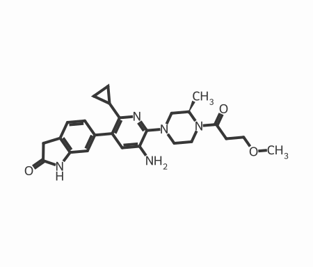 COCCC(=O)N1CCN(c2nc(C3CC3)c(-c3ccc4c(c3)NC(=O)C4)cc2N)C[C@H]1C